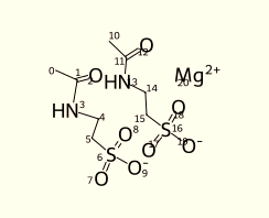 CC(=O)NCCS(=O)(=O)[O-].CC(=O)NCCS(=O)(=O)[O-].[Mg+2]